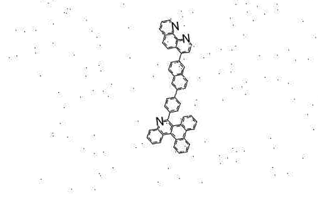 c1cnc2c(c1)ccc1c(-c3ccc4cc(-c5ccc(-c6nc7ccccc7c7c8ccccc8c8ccccc8c67)cc5)ccc4c3)ccnc12